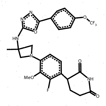 COc1c(N2CC(C)(Nc3nnc(-c4ccc(OC(F)(F)F)cc4)o3)C2)ccc(C2CCC(=O)NC2=O)c1F